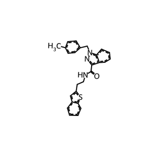 Cc1ccc(Cn2nc(C(=O)NCCc3cc4ccccc4s3)c3ccccc32)cc1